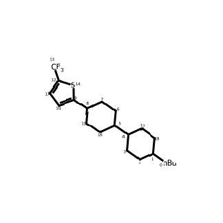 CCCCC1CCC(C2CCC(c3ccc(C(F)(F)F)s3)CC2)CC1